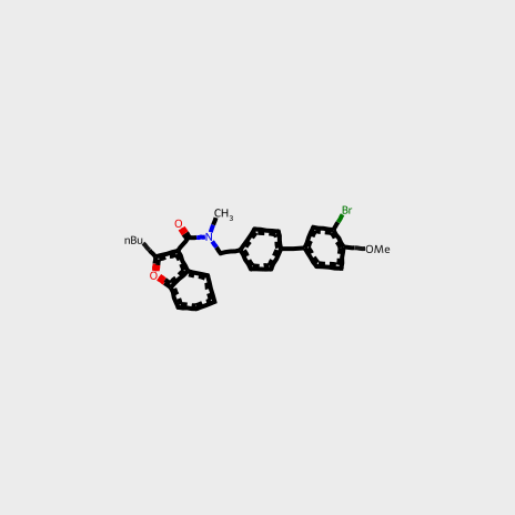 CCCCc1oc2ccccc2c1C(=O)N(C)Cc1ccc(-c2ccc(OC)c(Br)c2)cc1